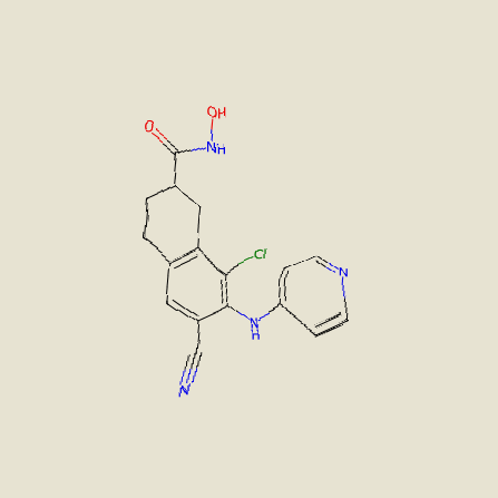 N#Cc1cc2c(c(Cl)c1Nc1ccncc1)CC(C(=O)NO)CC2